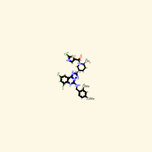 COc1ccc(CNc2nc3c(F)cc(F)cc3c3nc([C@@H]4CC[C@H](C)N(C(=O)c5cnc(Cl)s5)C4)nn23)c(OC)c1